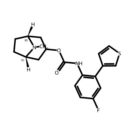 CN1[C@@H]2CC[C@H]1CC(OC(=O)Nc1ccc(F)cc1-c1ccsc1)C2